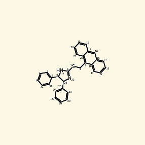 c1ccc([C@H]2NC(SCc3c4ccccc4cc4ccccc34)=N[C@H]2c2ccccc2)cc1